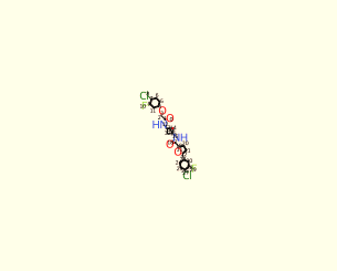 O=C(COc1ccc(Cl)c(F)c1)NC12CC(NC(=O)c3ccc(-c4ccc(Cl)c(F)c4)o3)(C1)C2